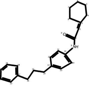 O=C(C=C1CCCCC1)Nc1ccc(CCCc2ccccc2)cc1